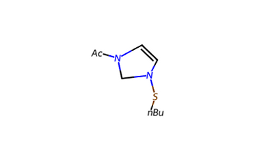 CCCCSN1C=CN(C(C)=O)C1